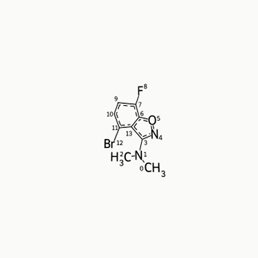 CN(C)c1noc2c(F)ccc(Br)c12